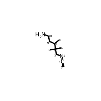 C=C=NCC(C)(C)C(C)CCN